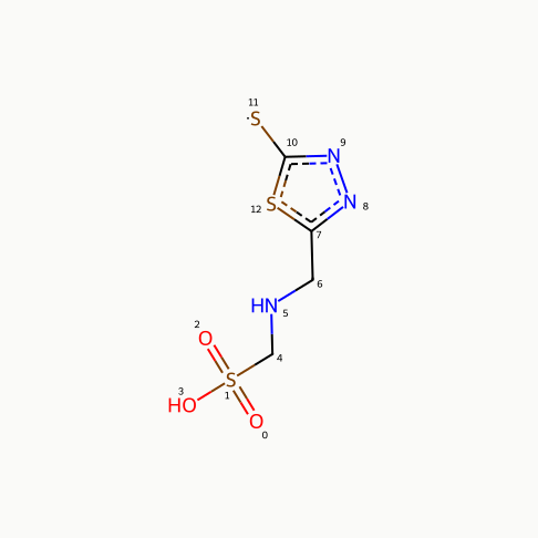 O=S(=O)(O)CNCc1nnc([S])s1